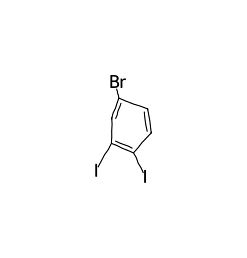 Brc1ccc(I)c(I)c1